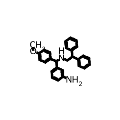 COc1ccc(C(NCC(c2ccccc2)c2ccccc2)c2cccc(N)c2)cc1